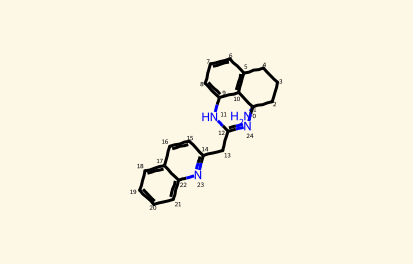 NC12CCCc3cccc(c31)NC(Cc1ccc3ccccc3n1)=N2